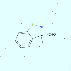 CC1(C=O)NSc2ccccc21